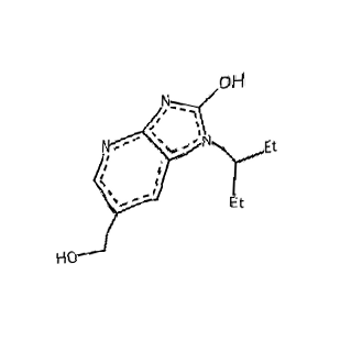 CCC(CC)n1c(O)nc2ncc(CO)cc21